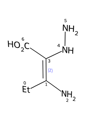 CC/C(N)=C(/NN)C(=O)O